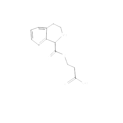 O=C(O)CCOC(=O)C1NCCc2ccccc21